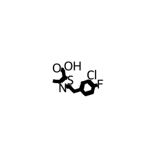 Cc1nc(Cc2ccc(F)c(Cl)c2)sc1C(=O)O